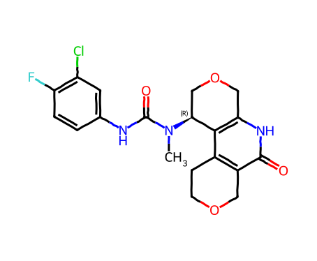 CN(C(=O)Nc1ccc(F)c(Cl)c1)[C@H]1COCc2[nH]c(=O)c3c(c21)CCOC3